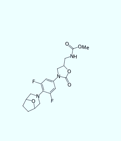 COC(=O)NCC1CN(c2cc(F)c(N3CC4CCC(C3)O4)c(F)c2)C(=O)O1